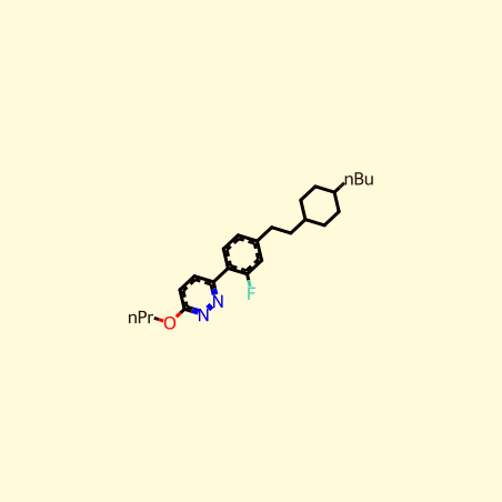 CCCCC1CCC(CCc2ccc(-c3ccc(OCCC)nn3)c(F)c2)CC1